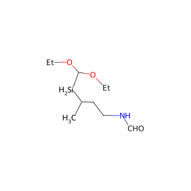 CCOC(OCC)[SiH2]C(C)CCNC=O